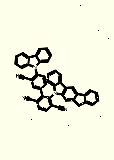 N#Cc1cc(-c2c(C#N)ccc(C#N)c2-n2c3ccccc3c3cc4c(cc32)Cc2ccccc2-4)ccc1-n1c2ccccc2c2ccccc21